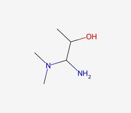 CC(O)C(N)N(C)C